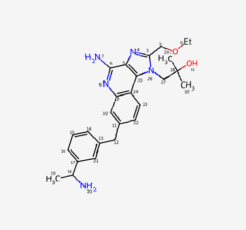 CCOCc1nc2c(N)nc3cc(Cc4cccc(C(C)N)c4)ccc3c2n1CC(C)(C)O